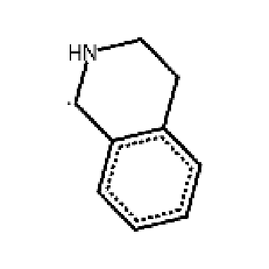 [CH]1NCCc2ccccc21